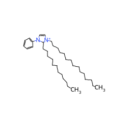 CCCCCCCCCCCCCCC[n+]1ccn(-c2ccccc2)c1CCCCCCCCCCCC